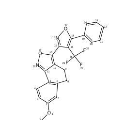 COc1ccc2c(c1)CCc1c-2noc1-c1noc(-c2ccccc2)c1C(F)(F)F